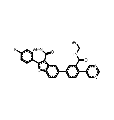 CNC(=O)c1c(-c2ccc(F)cc2)oc2ccc(-c3ccc(-c4cncnc4)c(C(=O)NCC(C)C)c3)cc12